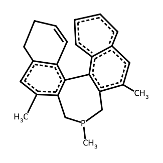 Cc1cc2c(c3c1CP(C)Cc1c(C)cc4ccccc4c1-3)C=CCC2